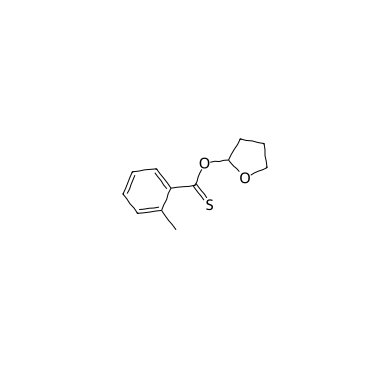 Cc1ccccc1C(=S)OC1CCCO1